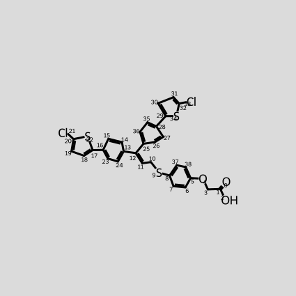 O=C(O)COc1ccc(SCC=C(c2ccc(-c3ccc(Cl)s3)cc2)c2ccc(-c3ccc(Cl)s3)cc2)cc1